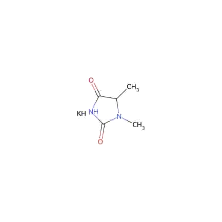 CC1C(=O)NC(=O)N1C.[KH]